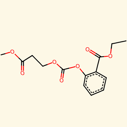 CCOC(=O)c1ccccc1OC(=O)OCCC(=O)OC